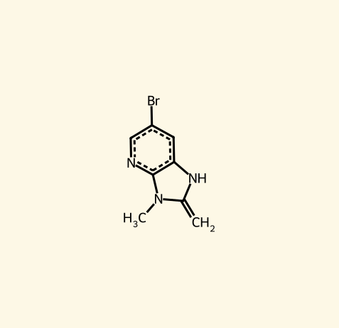 C=C1Nc2cc(Br)cnc2N1C